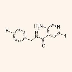 Nc1cnc(I)cc1C(=O)NCc1ccc(F)cc1